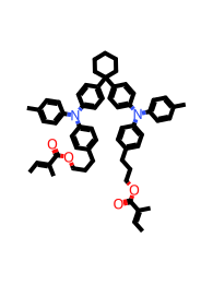 C/C=C(\C)C(=O)OCCCc1ccc(N(c2ccc(C)cc2)c2ccc(C3(c4ccc(N(c5ccc(C)cc5)c5ccc(CCCOC(=O)/C(C)=C/C)cc5)cc4)CCCCC3)cc2)cc1